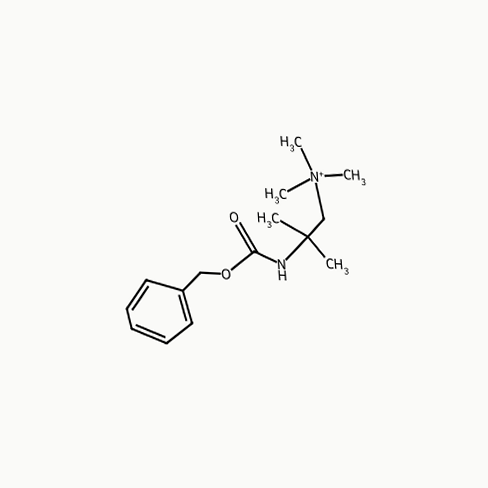 CC(C)(C[N+](C)(C)C)NC(=O)OCc1ccccc1